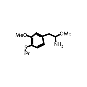 COc1cc(CC(N)OC)ccc1SC(C)C